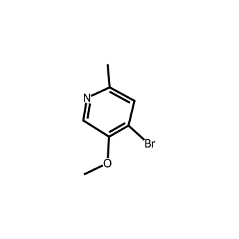 COc1cnc(C)cc1Br